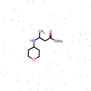 COC(=O)CC(C)NC1CCOCC1